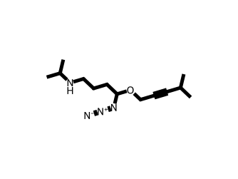 CC(C)C#CCOC(CCCNC(C)C)N=[N+]=[N-]